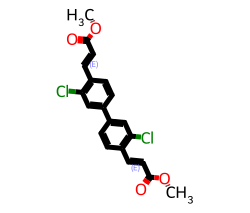 COC(=O)/C=C/c1ccc(-c2ccc(/C=C/C(=O)OC)c(Cl)c2)cc1Cl